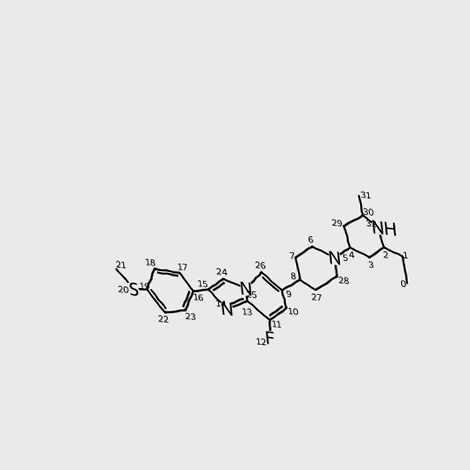 CCC1CC(N2CCC(c3cc(F)c4nc(-c5ccc(SC)cc5)cn4c3)CC2)CC(C)N1